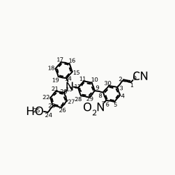 N#CC=Cc1ccc([N+](=O)[O-])c(-c2ccc(N(c3ccccc3)c3ccc(CO)cc3)cc2)c1